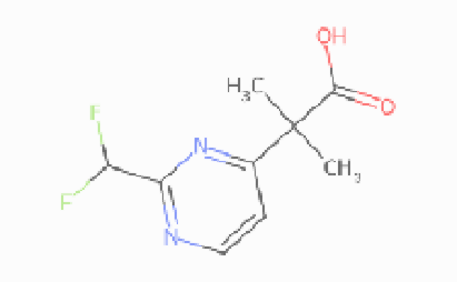 CC(C)(C(=O)O)c1ccnc(C(F)F)n1